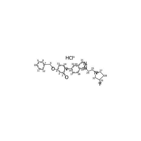 Cl.O=c1cc(OCc2ccccc2)ccn1-c1ccc2c(cnn2CCN2CCC(F)C2)c1